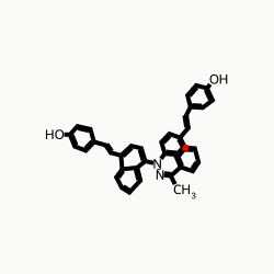 C/C(=N/N(c1ccc(/C=C/c2ccc(O)cc2)cc1)c1ccc(/C=C/c2ccc(O)cc2)c2ccccc12)c1ccccc1